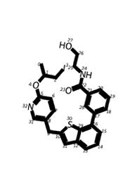 CC(CI)Oc1ccc(Cc2cc3cccc(-c4cccc(C(=O)NCCO)c4)c3s2)cn1